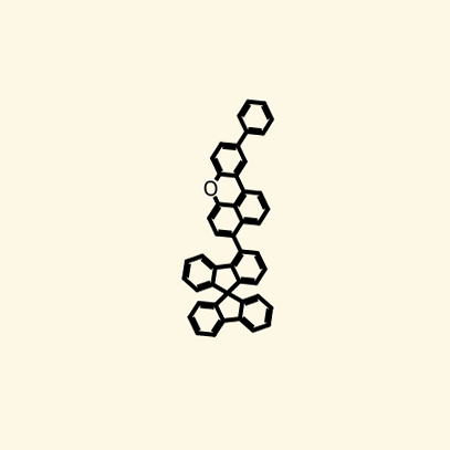 c1ccc(-c2ccc3c(c2)-c2cccc4c(-c5cccc6c5-c5ccccc5C65c6ccccc6-c6ccccc65)ccc(c24)O3)cc1